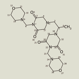 CC(CN1CC(=O)N(CN2CCOCC2)C(=O)C1)N1CC(=O)N(CN2CCOCC2)C(=O)C1